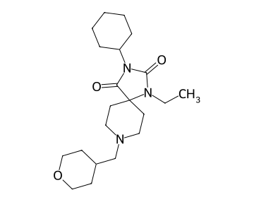 CCN1C(=O)N(C2CCCCC2)C(=O)C12CCN(CC1CCOCC1)CC2